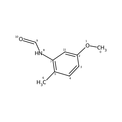 COc1ccc(C)c(NC=O)c1